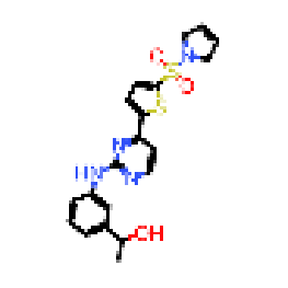 CC(O)c1cccc(Nc2nccc(-c3ccc(S(=O)(=O)N4CC=CC4)s3)n2)c1